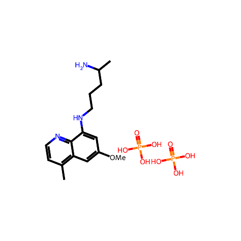 COc1cc(NCCCC(C)N)c2nccc(C)c2c1.O=P(O)(O)O.O=P(O)(O)O